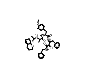 C1=Nc2ccccc2OC1.COc1ccc(CC(NC(=O)C(C)NC(C)=O)C(=O)NC(Cc2ccccc2)C(=O)C(=O)NCc2ccccc2)cc1